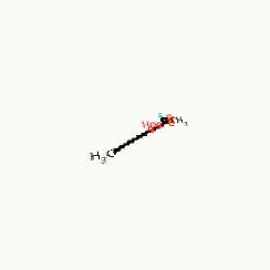 CCCCCCCCCCCCCCCCCCOC[C@H](O)COCc1cc(F)cc(S(C)(=O)=O)c1